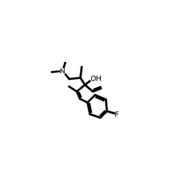 C=CC(O)(C(C)=Cc1ccc(F)cc1)C(C)CN(C)C